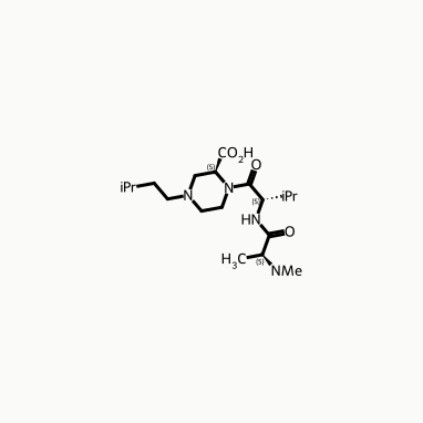 CN[C@@H](C)C(=O)N[C@H](C(=O)N1CCN(CCC(C)C)C[C@H]1C(=O)O)C(C)C